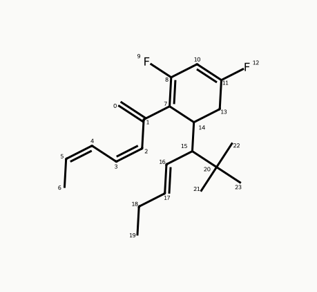 C=C(/C=C\C=C/C)C1=C(F)C=C(F)CC1C(C=CCC)C(C)(C)C